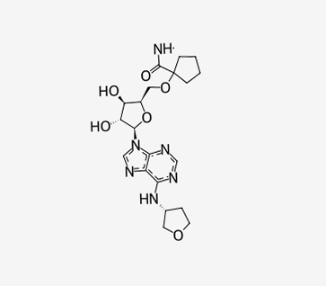 [NH]C(=O)C1(OC[C@H]2O[C@@H](n3cnc4c(N[C@@H]5CCOC5)ncnc43)[C@H](O)[C@H]2O)CCCC1